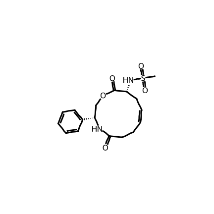 CS(=O)(=O)N[C@@H]1CC=CCCC(=O)N[C@H](c2ccccc2)COC1=O